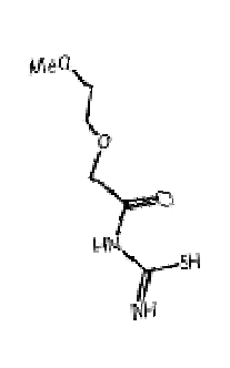 COCCOCC(=O)NC(=N)S